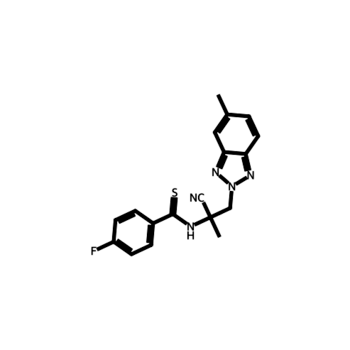 Cc1ccc2nn(CC(C)(C#N)NC(=S)c3ccc(F)cc3)nc2c1